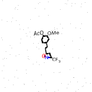 COc1cc(C=Cc2cc(C(F)(F)F)no2)ccc1OC(C)=O